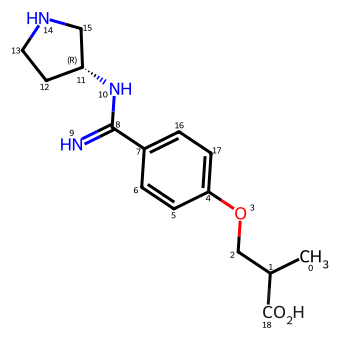 CC(COc1ccc(C(=N)N[C@@H]2CCNC2)cc1)C(=O)O